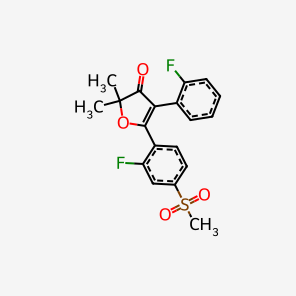 CC1(C)OC(c2ccc(S(C)(=O)=O)cc2F)=C(c2ccccc2F)C1=O